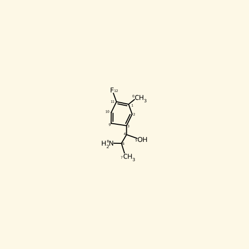 Cc1cc(C(O)C(C)N)ccc1F